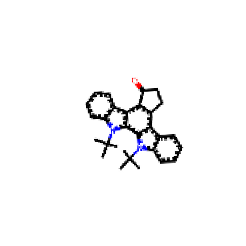 CC(C)(C)n1c2ccccc2c2c3c(c4c5ccccc5n(C(C)(C)C)c4c21)C(=O)CC3